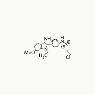 C=Cn1c(-c2ccc(NS(=O)(=O)CCCCl)cc2)c(N)c2ccc(OC)cc21